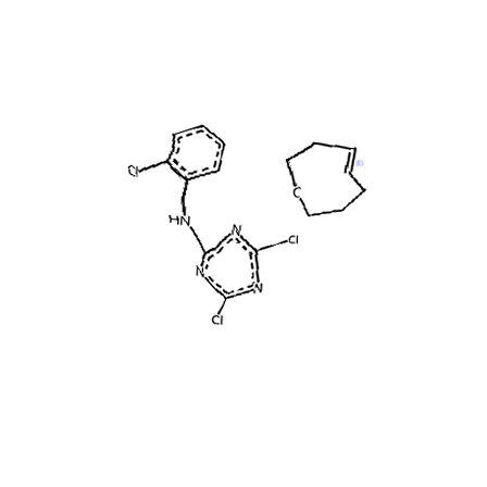 C1=C/CCCCCC/1.Clc1nc(Cl)nc(Nc2ccccc2Cl)n1